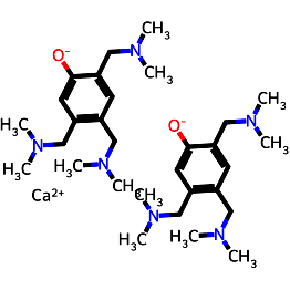 CN(C)Cc1cc(CN(C)C)c(CN(C)C)cc1[O-].CN(C)Cc1cc(CN(C)C)c(CN(C)C)cc1[O-].[Ca+2]